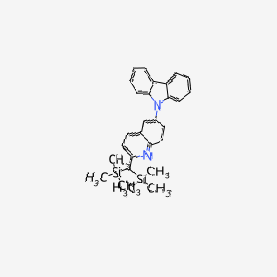 C[Si](C)(C)C(c1ccc2cc(-n3c4ccccc4c4ccccc43)ccc2n1)[Si](C)(C)C